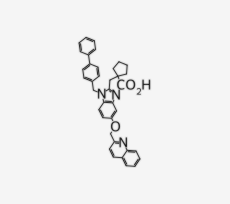 O=C(O)C1(Cc2nc3cc(OCc4ccc5ccccc5n4)ccc3n2Cc2ccc(-c3ccccc3)cc2)CCCC1